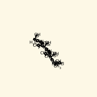 Cc1nn(C(C)c2ccc(Cl)cc2Cl)c2nc(N3CCC(N4CC(CC(c5ccc(Cl)cc5Cl)n5nc(C)c6ncc(N7CCC(N8CC(CC(c9ccc(Cl)cc9F)n9nc(C)c%10ncc(N%11CCC(N%12CCCC%12CCC(=O)O)C(C)C%11)nc%109)CC8CCC(=O)O)CC7C)nc65)CC4CCC(=O)O)CC3)cnc12